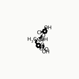 C[C@H](Cc1ccc2c(c1)OC[C@H](C(=O)O)O2)NC[C@H](O)COc1ccc(O)cc1Cl